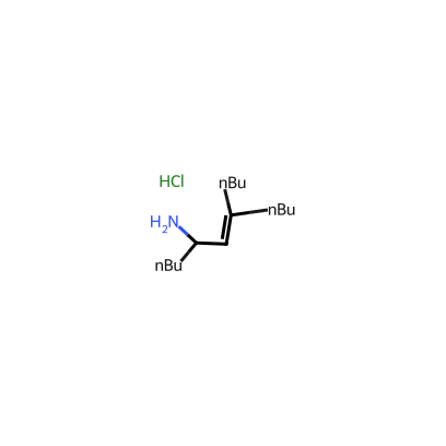 CCCCC(=CC(N)CCCC)CCCC.Cl